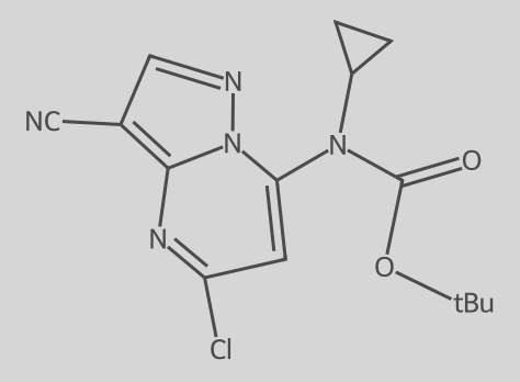 CC(C)(C)OC(=O)N(c1cc(Cl)nc2c(C#N)cnn12)C1CC1